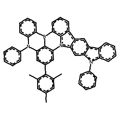 Cc1cc(C)c(-c2cc3c4c(c2)-n2c5cc6c(cc5c5cccc(c52)B4c2ccccc2N3c2ccccc2)c2ccccc2n6-c2ccccc2)c(C)c1